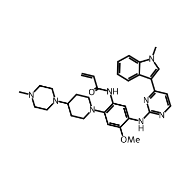 C=CC(=O)Nc1cc(Nc2nccc(-c3cn(C)c4ccccc34)n2)c(OC)cc1N1CCC(N2CCN(C)CC2)CC1